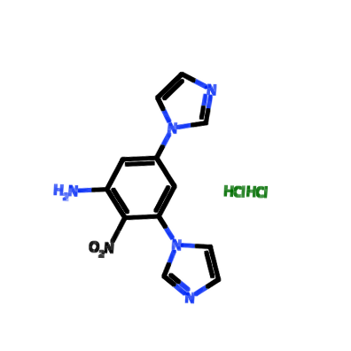 Cl.Cl.Nc1cc(-n2ccnc2)cc(-n2ccnc2)c1[N+](=O)[O-]